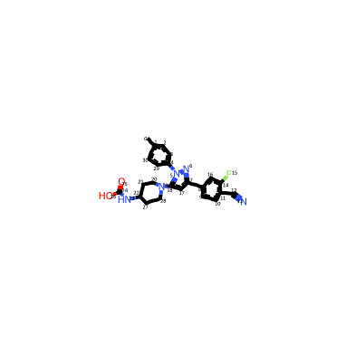 Cc1ccc(-n2nc(-c3ccc(C#N)c(F)c3)cc2N2CCC(NC(=O)O)CC2)cc1